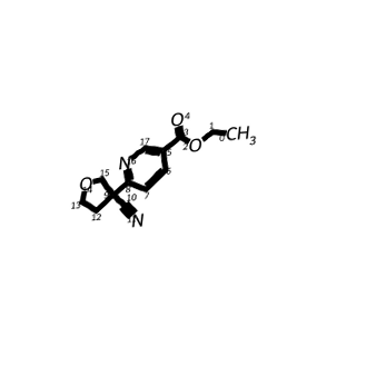 CCOC(=O)c1ccc(C2(C#N)CCOC2)nc1